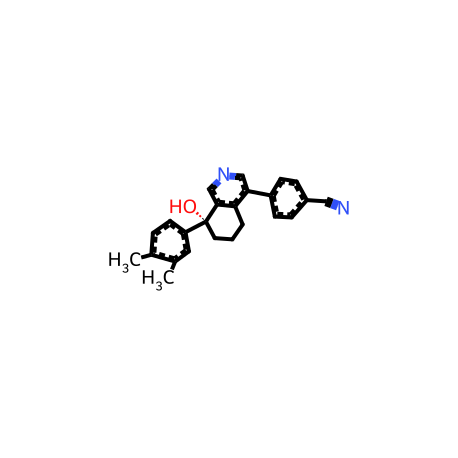 Cc1ccc([C@]2(O)CCCc3c(-c4ccc(C#N)cc4)cncc32)cc1C